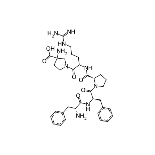 N=C(N)NCCC[C@@H](NC(=O)[C@H]1CCCN1C(=O)[C@@H](Cc1ccccc1)NC(=O)[C@H](N)Cc1ccccc1)C(=O)N1CCC(N)(C(=O)O)C1